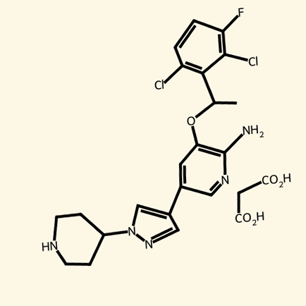 CC(Oc1cc(-c2cnn(C3CCNCC3)c2)cnc1N)c1c(Cl)ccc(F)c1Cl.O=C(O)CC(=O)O